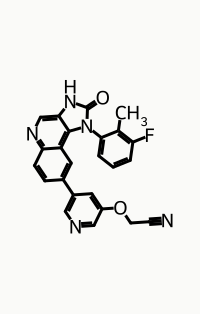 Cc1c(F)cccc1-n1c(=O)[nH]c2cnc3ccc(-c4cncc(OCC#N)c4)cc3c21